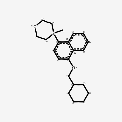 CS1(c2ccc(OCC3CCCCC3)c3ccccc23)CCOCC1